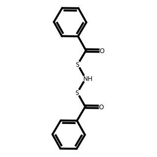 O=C(SNSC(=O)c1ccccc1)c1ccccc1